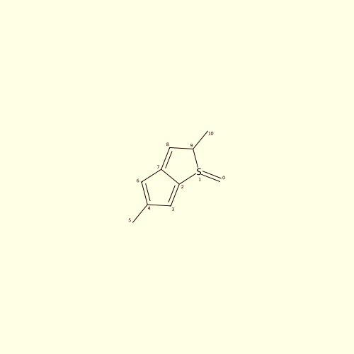 C=S1C2=CC(C)=CC2=CC1C